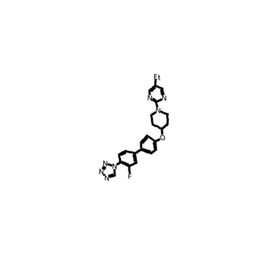 CCc1cnc(N2CCC(Oc3ccc(-c4ccc(-n5cnnn5)c(F)c4)cc3)CC2)nc1